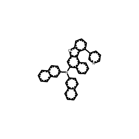 c1cncc(-c2cccc3oc4cc(N(c5ccc6ccccc6c5)c5ccc6ccccc6c5)c5ccccc5c4c23)c1